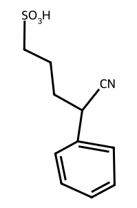 N#CC(CCCS(=O)(=O)O)c1ccccc1